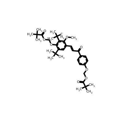 COc1c(C=CC(=O)c2ccc(OCOC(=O)C(C)(C)C)cc2)cc(C(C)(C)C)c(OCOC(=O)C(C)(C)C)c1C(C)(C)C